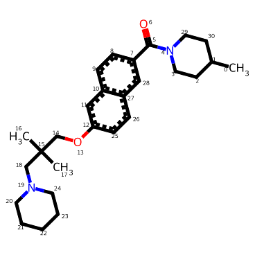 CC1CCN(C(=O)c2ccc3cc(OCC(C)(C)CN4CCCCC4)ccc3c2)CC1